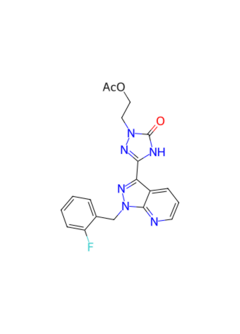 CC(=O)OCCn1nc(-c2nn(Cc3ccccc3F)c3ncccc23)[nH]c1=O